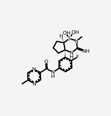 Cc1cnc(C(=O)Nc2ccc(F)c([C@]34CCC[C@H]3S(O)(O)N(C)C(=N)N4)c2)cn1